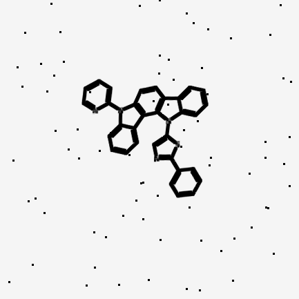 c1ccc(-c2ncc(-n3c4ccccc4c4ccc5c(c6ccccc6n5-c5ccccn5)c43)s2)cc1